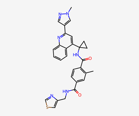 Cc1cc(C(=O)NCc2cscn2)ccc1C(=O)NC1(c2cc(-c3cnn(C)c3)nc3ccccc23)CC1